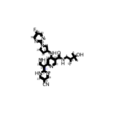 CC(C)(O)C(F)CNC(=O)c1cnc(/C(C=N)=C2\N=CC(C#N)=CN2)cc1NC1CCN(c2ncc(F)cn2)C1